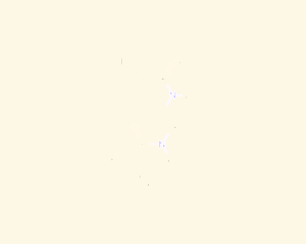 C=C(C)C(=O)N(C)CCN(C)C(=O)C(=C)C